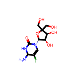 NC1NC(=O)N([C@@H]2OC(CO)(CO)[C@@H](O)[C@H]2O)C=C1F